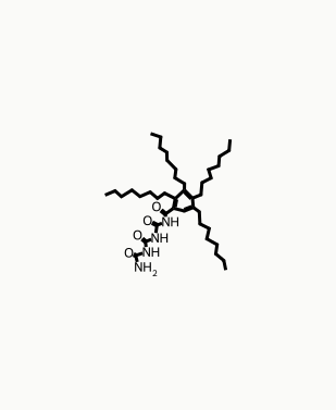 CCCCCCCCc1cc(C(=O)NC(=O)NC(=O)NC(N)=O)c(CCCCCCCC)c(CCCCCCCC)c1CCCCCCCC